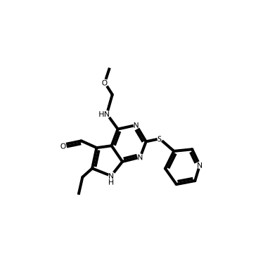 CCc1[nH]c2nc(Sc3cccnc3)nc(NCOC)c2c1C=O